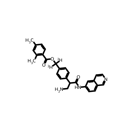 [2H]C([2H])(OC(=O)c1ccc(C)cc1C)c1ccc(C(CN)C(=O)Nc2ccc3cnccc3c2)cc1